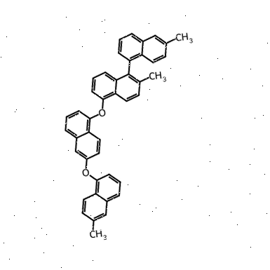 Cc1ccc2c(Oc3ccc4c(Oc5cccc6c(-c7cccc8cc(C)ccc78)c(C)ccc56)cccc4c3)cccc2c1